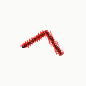 O=S(=O)(O)O.O=S(=O)(O)O.O=S(=O)(O)O.O=S(=O)(O)O.O=S(=O)(O)O.O=S(=O)(O)O.O=S(=O)(O)O.O=S(=O)(O)O.O=S(=O)(O)O.O=S(=O)(O)O.O=S(=O)(O)O.O=S(=O)(O)O.O=S(=O)(O)O.O=S(=O)(O)O.O=S(=O)(O)O.O=S(=O)(O)O.O=S(=O)(O)O.O=S(=O)(O)O.O=S(=O)(O)O.O=S(=O)(O)O.O=S(=O)(O)O.O=S(=O)(O)O.O=S(=O)(O)O.O=S(=O)(O)O.O=S(=O)([O-])O.[K+]